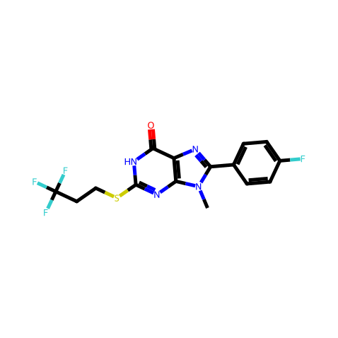 Cn1c(-c2ccc(F)cc2)nc2c(=O)[nH]c(SCCC(F)(F)F)nc21